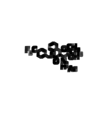 CC(=O)CCN[C@@H]1c2c(c3ccccc3n(Cc3ccc(C(F)(F)F)cc3)c2=O)OC(C)(C)[C@H]1O